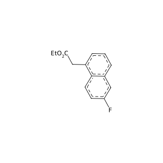 CCOC(=O)Cc1cccc2cc(F)ccc12